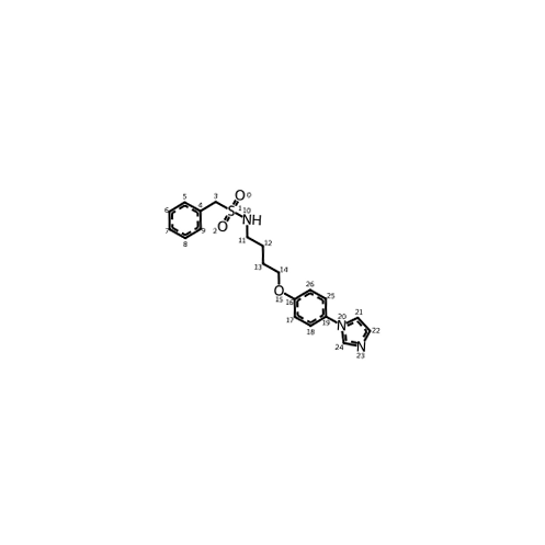 O=S(=O)(Cc1ccccc1)NCCCCOc1ccc(-n2ccnc2)cc1